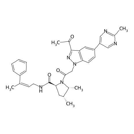 CC(=O)c1nn(CC(=O)N2[C@H](C)[C@H](C)C[C@H]2C(=O)NC/C=C(/C)c2ccccc2)c2ccc(-c3cnc(C)nc3)cc12